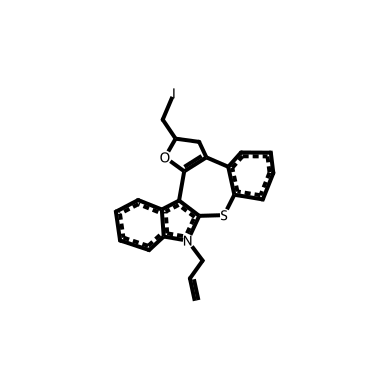 C=CCn1c2c(c3ccccc31)C1=C(CC(CI)O1)c1ccccc1S2